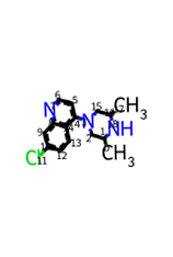 CC1CN(c2ccnc3cc(Cl)ccc23)CC(C)N1